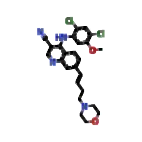 COc1cc(Nc2c(C#N)cnc3cc(C=CCCN4CCOCC4)ccc23)c(Cl)cc1Cl